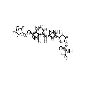 CC(C)NC(=O)OC1CCC(c2cc(Nc3ccnc4c(OCC5CCOC5)nn(C)c34)n[nH]2)C1